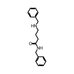 O=C(CCCNCc1ccccc1)NCc1ccccc1